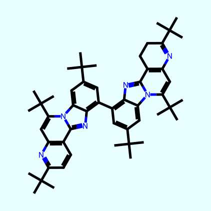 CC(C)(C)C1=Nc2cc(C(C)(C)C)n3c(nc4c(-c5cc(C(C)(C)C)cc6c5nc5c7ccc(C(C)(C)C)nc7cc(C(C)(C)C)n65)cc(C(C)(C)C)cc43)c2CC1